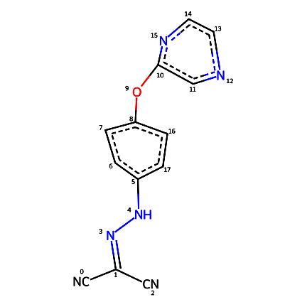 N#CC(C#N)=NNc1ccc(Oc2cnccn2)cc1